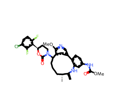 C=C1Nc2cc(NC(=O)OC)ccc2-c2cnc(OC)c(c2)C(N2CC[C@H](c3c(F)ccc(Cl)c3F)OC2=O)CCC[C@H]1C